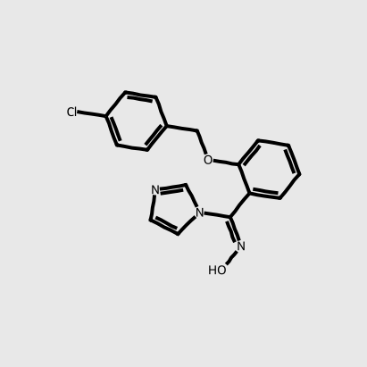 ON=C(c1ccccc1OCc1ccc(Cl)cc1)n1ccnc1